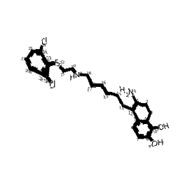 NC1CCc2c(ccc(O)c2O)C1CCCCCCNCCSc1c(Cl)cccc1Cl